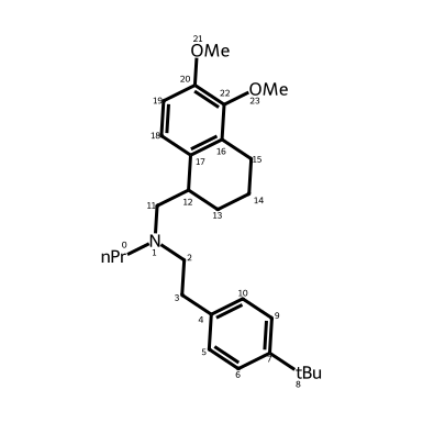 CCCN(CCc1ccc(C(C)(C)C)cc1)CC1CCCc2c1ccc(OC)c2OC